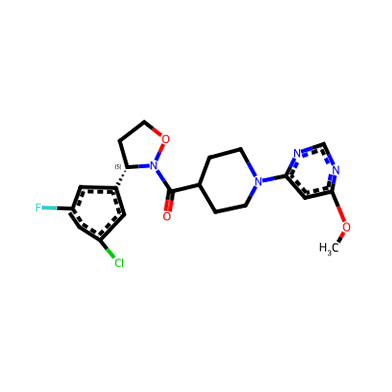 COc1cc(N2CCC(C(=O)N3OCC[C@H]3c3cc(F)cc(Cl)c3)CC2)ncn1